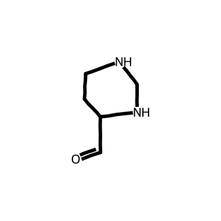 O=CC1CCNCN1